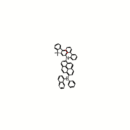 CC1(C)c2ccccc2-c2ccc(N(c3ccccc3-c3ccccc3)c3ccc4ccc5c(B(c6ccccc6)c6cccc7ccccc67)ccc6ccc3c4c65)cc21